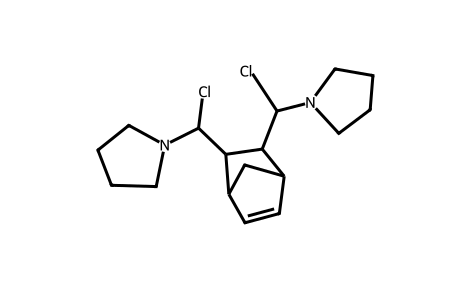 ClC(C1C2C=CC(C2)C1C(Cl)N1CCCC1)N1CCCC1